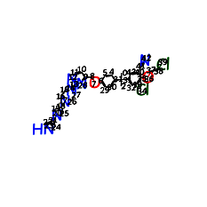 CC(C)(c1ccc(OCc2ccnc(N3CCN(C4CN(C5CNC5)C4)CC3)n2)cc1)c1cc(Cl)c(OCCCl)c(C#N)c1